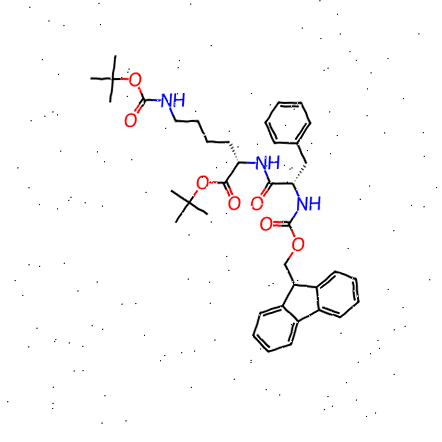 CC(C)(C)OC(=O)NCCCC[C@H](NC(=O)[C@H](Cc1ccccc1)NC(=O)OCC1c2ccccc2-c2ccccc21)C(=O)OC(C)(C)C